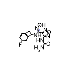 NC(=O)Nc1nonc1/C(=N\O)NC1Cc2ccc(F)cc21